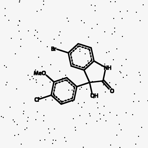 COc1cc(C2(O)C(=O)Nc3ccc(Br)cc32)ccc1Cl